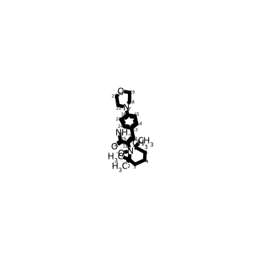 CC1(C)CCCC(C)(C)[N+]1([O])/C(=C/c1ccc(N2CCOCC2)cc1)C(N)=O